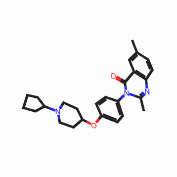 Cc1ccc2nc(C)n(-c3ccc(OC4CCN(C5CCCC5)CC4)cc3)c(=O)c2c1